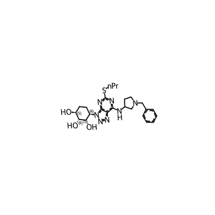 CCCSc1nc(NC2CCN(Cc3ccccc3)C2)c2nnn([C@@H]3CC[C@H](O)[C@@H](O)[C@H]3O)c2n1